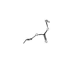 CC=COC(=O)OC(C)(C)C